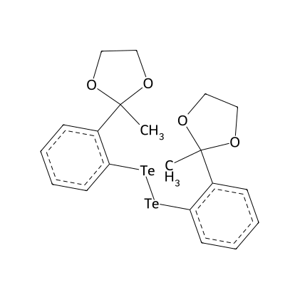 CC1(c2ccccc2[Te][Te]c2ccccc2C2(C)OCCO2)OCCO1